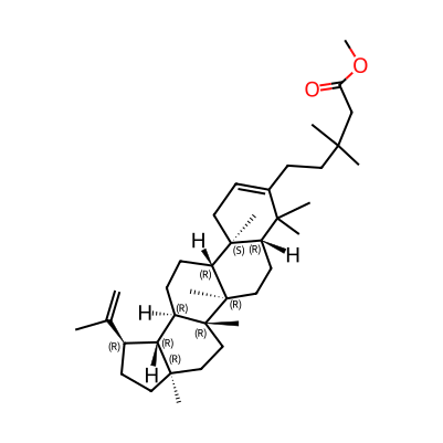 C=C(C)[C@@H]1CC[C@]2(C)CC[C@]3(C)[C@H](CC[C@@H]4[C@@]5(C)CC=C(CCC(C)(C)CC(=O)OC)C(C)(C)[C@@H]5CC[C@]43C)[C@@H]12